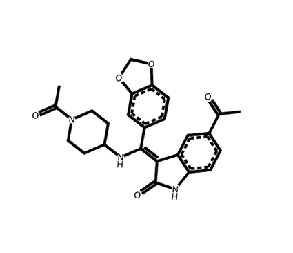 CC(=O)c1ccc2c(c1)/C(=C(/NC1CCN(C(C)=O)CC1)c1ccc3c(c1)OCO3)C(=O)N2